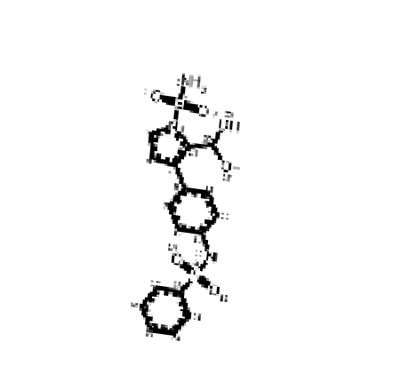 NS(=O)(=O)n1ccc(-c2ccc(NS(=O)(=O)c3ccccc3)cc2)c1C(O)O